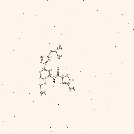 CCCc1ccc(-c2cnn(CC(O)O)c2)cc1NC(=O)C1COC(N)=N1